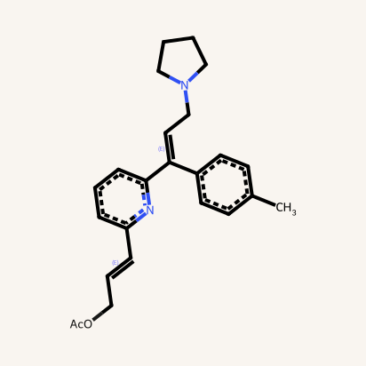 CC(=O)OC/C=C/c1cccc(/C(=C/CN2CCCC2)c2ccc(C)cc2)n1